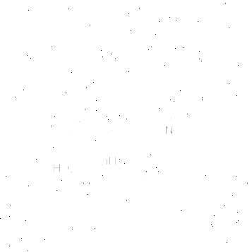 C[SiH2]C1(C2=NCCS2)CCCCO1